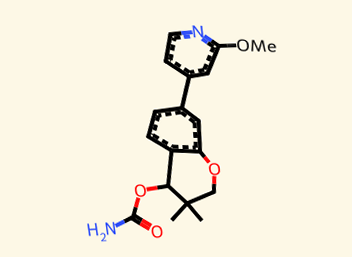 COc1cc(-c2ccc3c(c2)OCC(C)(C)C3OC(N)=O)ccn1